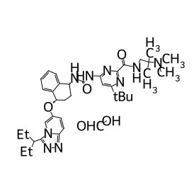 CCC(CC)c1nnc2ccc(O[C@@H]3CC[C@H](NC(=O)Nc4cc(C(C)(C)C)nc(C(=O)NCC(C)(C)N(C)C)n4)c4ccccc43)cn12.O=CO